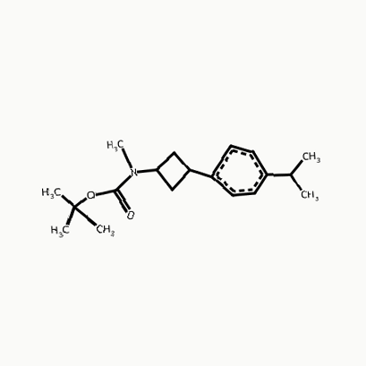 CC(C)c1ccc(C2CC(N(C)C(=O)OC(C)(C)C)C2)cc1